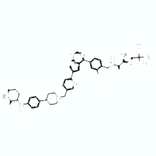 Cc1cc(-c2ncnn3cc(-c4ccc(CN5CCC(c6ccc(NC7CCC(=O)NC7=O)cc6)CC5)cn4)cc23)ccc1CNC(=O)c1noc(C(C)(C)C)n1